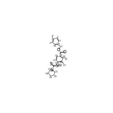 Cc1ccc(COC(=O)c2ccc(NC(=S)N3CCCCC3)c(C)c2C)cc1